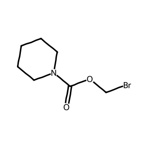 O=C(OCBr)N1CCCCC1